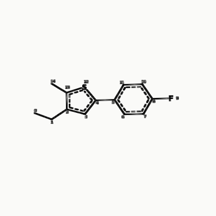 CCc1cc(-c2ccc(F)cc2)sc1C